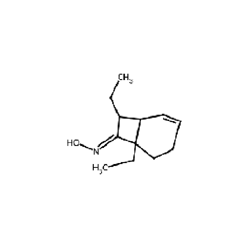 CCC1C(=NO)C2(CC)CCC=CC12